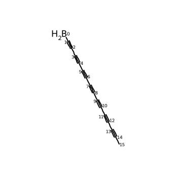 BC#CC#CC#CC#CC#CC#CC#CC